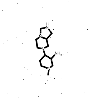 CN1CCC(N2CCN3CNCC3C2)C(N)C1